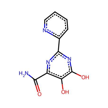 NC(=O)c1nc(-c2ccccn2)nc(O)c1O